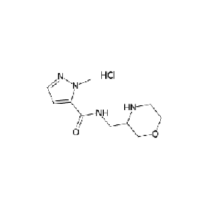 Cl.Cn1nccc1C(=O)NCC1COCCN1